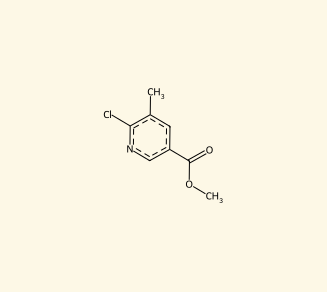 COC(=O)c1cnc(Cl)c(C)c1